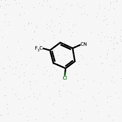 N#Cc1cc(Cl)cc(C(F)(F)F)c1